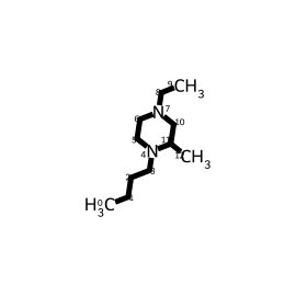 CCCCN1CCN(CC)CC1C